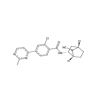 Cc1nccc(-c2ccc(C(=O)N[C@@H]3C[C@@H]4CC[C@H]3N4C#N)c(Cl)c2)n1